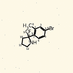 Cc1cc(Br)ccc1C1(C(F)(F)F)CCCN1